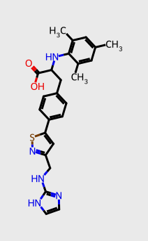 Cc1cc(C)c(NC(Cc2ccc(-c3cc(CNc4ncc[nH]4)ns3)cc2)C(=O)O)c(C)c1